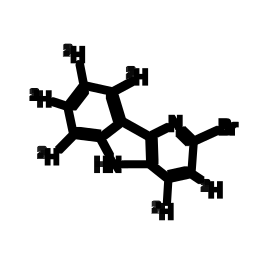 [2H]c1c(Br)nc2c([nH]c3c([2H])c([2H])c([2H])c([2H])c32)c1[2H]